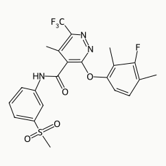 Cc1ccc(Oc2nnc(C(F)(F)F)c(C)c2C(=O)Nc2cccc(S(C)(=O)=O)c2)c(C)c1F